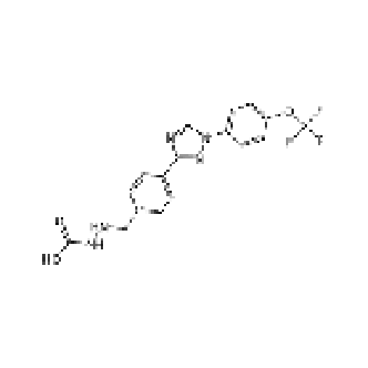 O=C(O)NNCc1ccc(-c2ncn(-c3ccc(OC(F)(F)F)cc3)n2)cc1